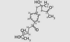 CC(=O)CC(C)(O)Cc1ccc(C(=O)CCC(C)(C)O)cc1